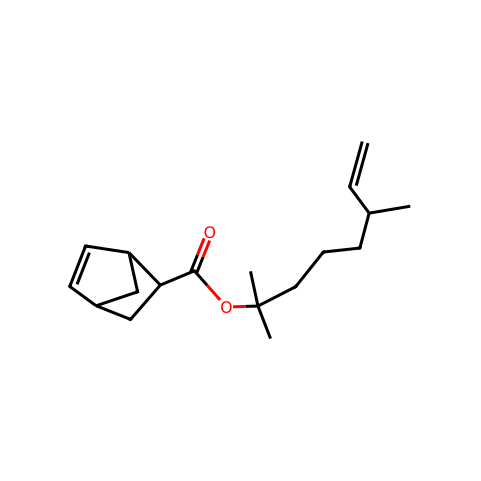 C=CC(C)CCCC(C)(C)OC(=O)C1CC2C=CC1C2